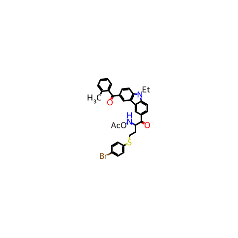 CCn1c2ccc(C(=O)c3ccccc3C)cc2c2cc(C(=O)C(CCSc3ccc(Br)cc3)NOC(C)=O)ccc21